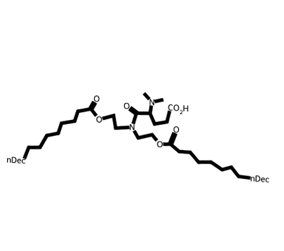 CCCCCCCCCCCCCCCCCC(=O)OCCN(CCOC(=O)CCCCCCCCCCCCCCCCC)C(=O)C(CCC(=O)O)N(C)C